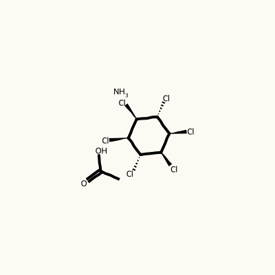 CC(=O)O.Cl[C@H]1[C@H](Cl)[C@@H](Cl)[C@@H](Cl)[C@H](Cl)[C@H]1Cl.N